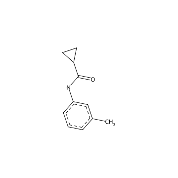 Cc1cccc([N]C(=O)C2CC2)c1